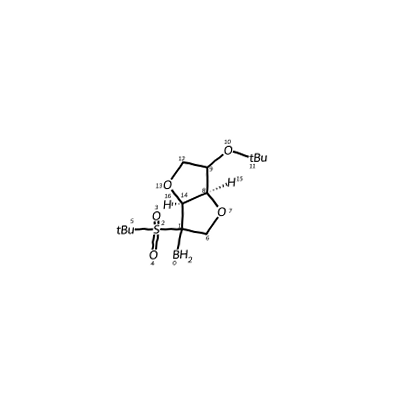 BC1(S(=O)(=O)C(C)(C)C)CO[C@@H]2C(OC(C)(C)C)CO[C@@H]21